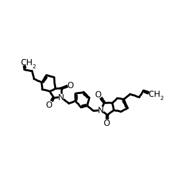 C=CCCC1=CCC2C(=O)N(Cc3cccc(CN4C(=O)C5CC=C(CCC=C)CC5C4=O)c3)C(=O)C2C1